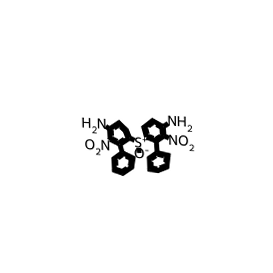 Nc1ccc([S+]([O-])c2ccc(N)c([N+](=O)[O-])c2-c2ccccc2)c(-c2ccccc2)c1[N+](=O)[O-]